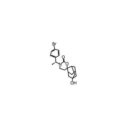 C[C@@H](c1ccc(Br)cc1)N1CCC2(OC1=O)C1CC3CC2CC(O)(C3)C1